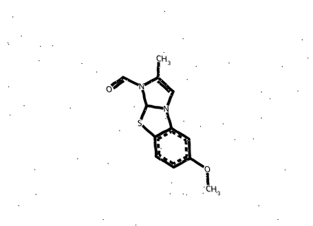 COc1ccc2c(c1)N1C=C(C)N(C=O)C1S2